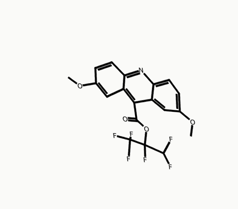 COc1ccc2nc3ccc(OC)cc3c(C(=O)OC(F)(C(F)F)C(F)(F)F)c2c1